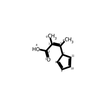 CC(C(=O)O)=C(C)C1C=CC=C1